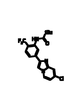 CC(C)(C)C(=O)Nc1cc(-c2cn3ccc(Cl)cc3n2)ccc1C(F)(F)F